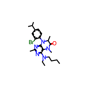 CCCCN(CC)c1nc(C)nc2c1N(C)C(=O)C(C)N2c1ccc(C(C)C)cc1Br